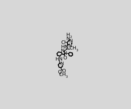 CC[C@H](Nc1ncnc(N)c1Cl)c1nc2cccc(NCc3ccc(C(=O)OC)cn3)c2c(=O)n1-c1ccccc1